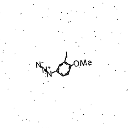 COc1ccc(N=[N+]=[N-])cc1I